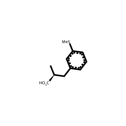 CSc1cccc(C[C@H](C)C(=O)O)c1